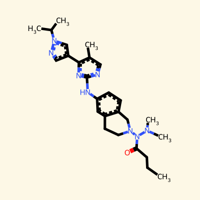 CCCC(=O)N(N(C)C)N1CCc2cc(Nc3ncc(C)c(-c4cnn(C(C)C)c4)n3)ccc2C1